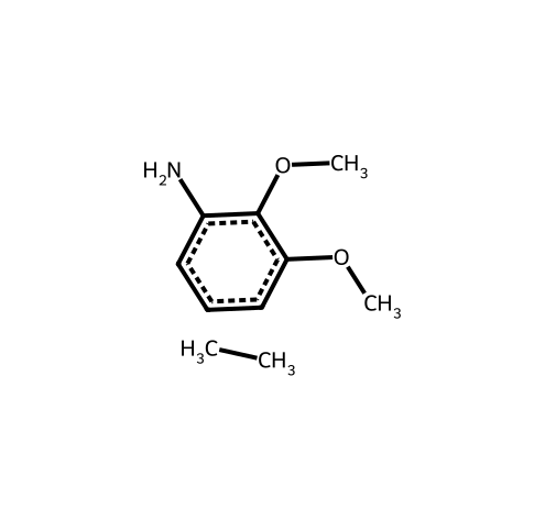 CC.COc1cccc(N)c1OC